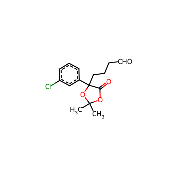 CC1(C)OC(=O)C(CCCC=O)(c2cccc(Cl)c2)O1